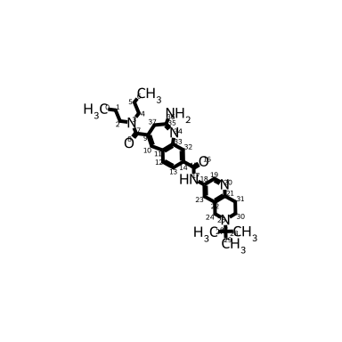 CCCN(CCC)C(=O)C1=Cc2ccc(C(=O)Nc3cnc4c(c3)CN(C(C)(C)C)CC4)cc2N=C(N)C1